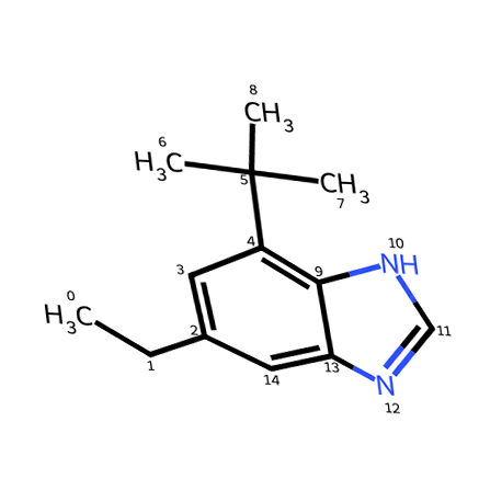 CCc1cc(C(C)(C)C)c2[nH]cnc2c1